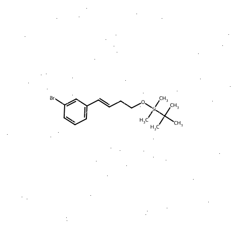 CC(C)(C)[Si](C)(C)OCCC=Cc1cccc(Br)c1